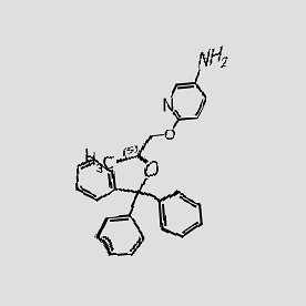 C[C@@H](COc1ccc(N)cn1)OC(c1ccccc1)(c1ccccc1)c1ccccc1